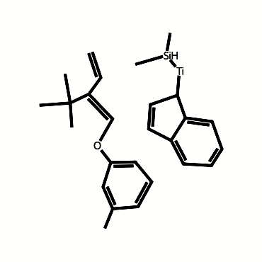 C=CC(=COc1cccc(C)c1)C(C)(C)C.C[SiH](C)[Ti][CH]1C=Cc2ccccc21